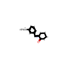 CCCCCCc1cccc(/C=C2\CCCCC2=O)c1